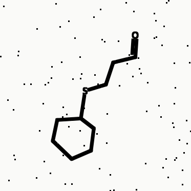 O=CCCSC1CCCCC1